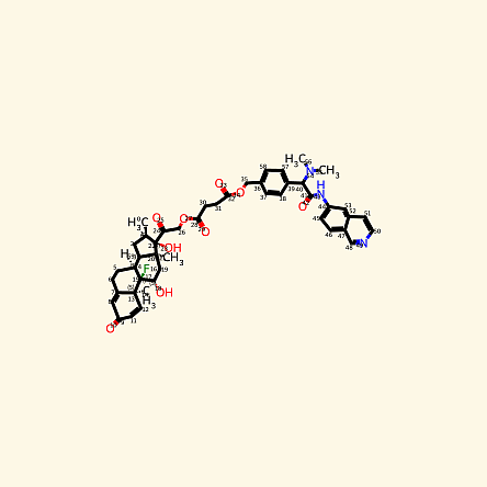 C[C@@H]1CC2[C@@H]3CCC4=CC(=O)C=C[C@]4(C)[C@@]3(F)[C@@H](O)C[C@]2(C)[C@@]1(O)C(=O)COC(=O)CCC(=O)OCc1ccc(C(C(=O)Nc2ccc3cnccc3c2)N(C)C)cc1